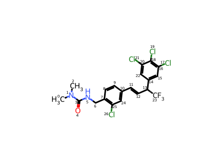 CN(C)C(=O)NCc1ccc(C=CC(c2cc(Cl)c(Cl)c(Cl)c2)C(F)(F)F)cc1Cl